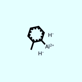 Cc1cccc[c]1[Al+2].[H-].[H-]